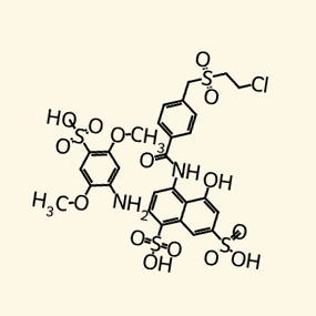 COc1cc(S(=O)(=O)O)c(OC)cc1N.O=C(Nc1ccc(S(=O)(=O)O)c2cc(S(=O)(=O)O)cc(O)c12)c1ccc(CS(=O)(=O)CCCl)cc1